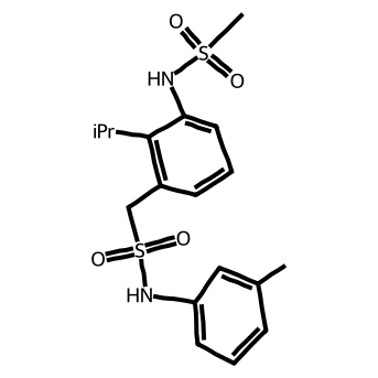 Cc1cccc(NS(=O)(=O)Cc2cccc(NS(C)(=O)=O)c2C(C)C)c1